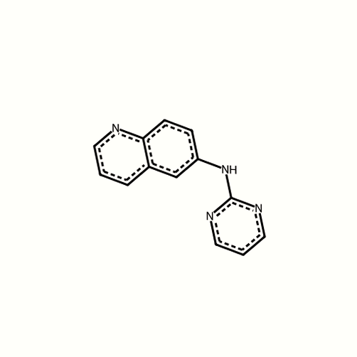 c1cnc(Nc2ccc3ncccc3c2)nc1